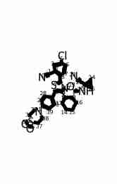 N#Cc1cc(Cl)ccc1-c1nc([C@@H]2CCCC[C@H]2C(=O)NC2(C#N)CC2)c(-c2ccc(N3CCS(=O)(=O)CC3)cc2)s1